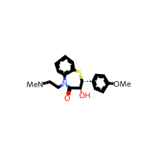 CNCCN1C(=O)[C@@H](O)[C@@H](c2ccc(OC)cc2)Sc2ccccc21